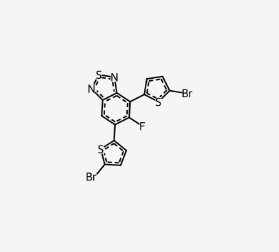 Fc1c(-c2ccc(Br)s2)cc2nsnc2c1-c1ccc(Br)s1